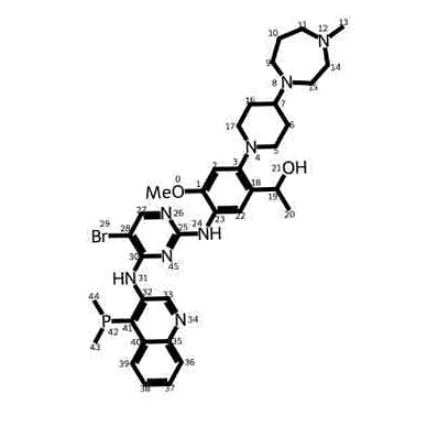 COc1cc(N2CCC(N3CCCN(C)CC3)CC2)c(C(C)O)cc1Nc1ncc(Br)c(Nc2cnc3ccccc3c2P(C)C)n1